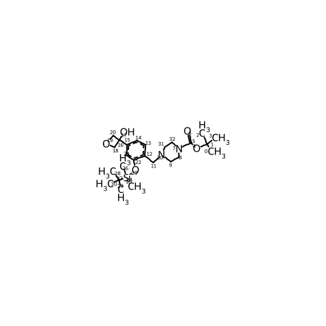 CC(C)(C)OC(=O)N1CCN(Cc2ccc(C3(O)COC3)cc2O[Si](C)(C)C(C)(C)C)CC1